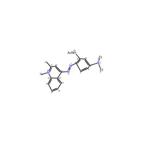 CCN(CC)c1ccc(/N=N/c2cc(C)[n+](C)c3ccccc23)c(NC(C)=O)c1